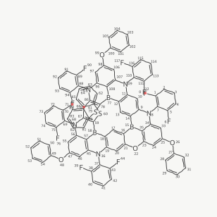 Fc1cccc(F)c1N1c2cc3c(cc2B2c4cc5c(cc4Oc4cc(Oc6ccccc6)cc1c42)N(c1c(F)cccc1F)c1cc(Oc2ccccc2)cc2c1B5c1sc4ccccc4c1N2c1c(F)cccc1F)B1c2sc4ccccc4c2N(c2c(F)cccc2F)c2cc(Oc4ccccc4)cc(c21)N3c1c(F)cccc1F